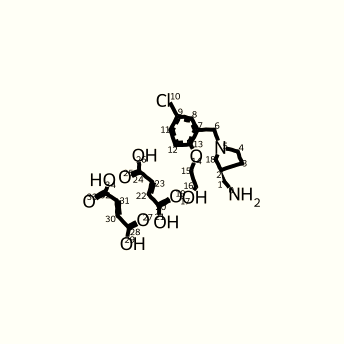 NC[C@@H]1CCN(Cc2cc(Cl)ccc2OCCO)C1.O=C(O)/C=C/C(=O)O.O=C(O)/C=C/C(=O)O